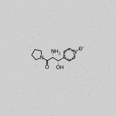 N[C@@H](C(=O)N1CCCC1)[C@@H](O)c1cc[n+]([O-])cc1